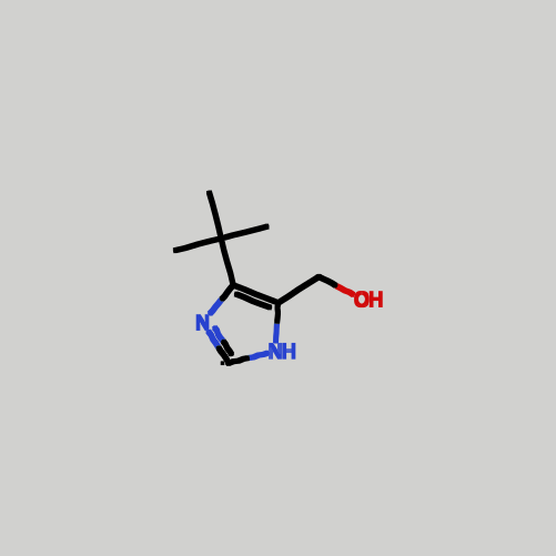 CC(C)(C)c1n[c][nH]c1CO